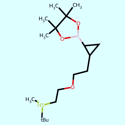 C[SH](CCOCCC1CC1B1OC(C)(C)C(C)(C)O1)C(C)(C)C